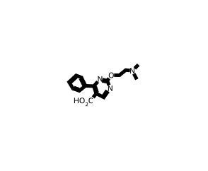 CN(C)CCOc1ncc(C(=O)O)c(-c2ccccc2)n1